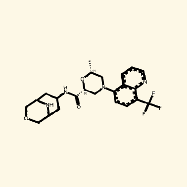 C[C@@H]1CN(c2ccc(C(F)(F)F)c3ncccc23)C[C@H](C(=O)NC2CC3COCC(C2)N3)O1